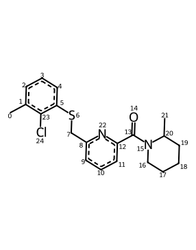 Cc1cccc(SCc2cccc(C(=O)N3CCCCC3C)n2)c1Cl